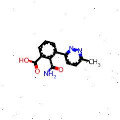 Cc1ccc(-c2cccc(C(=O)O)c2C(N)=O)nn1